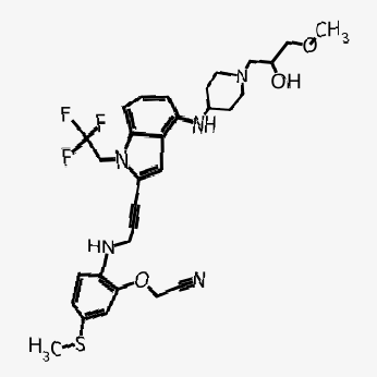 COCC(O)CN1CCC(Nc2cccc3c2cc(C#CCNc2ccc(SC)cc2OCC#N)n3CC(F)(F)F)CC1